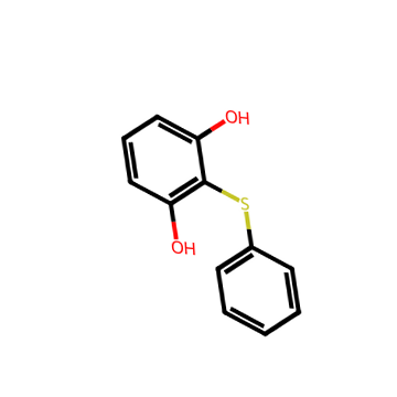 Oc1cccc(O)c1Sc1ccccc1